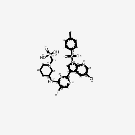 Cc1ccc(S(=O)(=O)n2cc(-c3ncc(F)c(NC4CCCN(CP(=O)(O)O)C4)n3)c3cc(Cl)cnc32)cc1